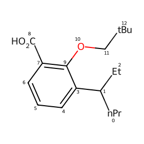 CCCC(CC)c1cccc(C(=O)O)c1OCC(C)(C)C